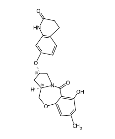 Cc1cc(O)c2c(c1)OC[C@H]1C[C@H](Oc3ccc4c(c3)NC(=O)CC4)CN1C2=O